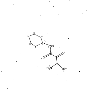 CCCC(N)C(=O)C(=O)NC1CCCCC1